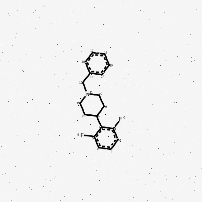 Fc1[c]ccc(F)c1C1CCN(Cc2ccccc2)CC1